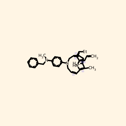 C=C/C=C(\C=C/CC)NC1=C(C)\C(C)=C\C=C/CN(c2ccc(N(C)Cc3ccccc3)cc2)C/C=C\1